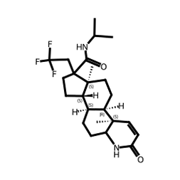 CC(C)NC(=O)C1(CC(F)(F)F)CC[C@H]2[C@@H]3CCC4NC(=O)C=C[C@]4(C)[C@@H]3CC[C@@]21C